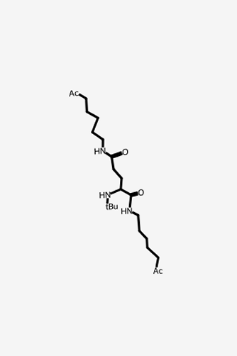 CC(=O)CCCCCNC(=O)CCC(NC(C)(C)C)C(=O)NCCCCCC(C)=O